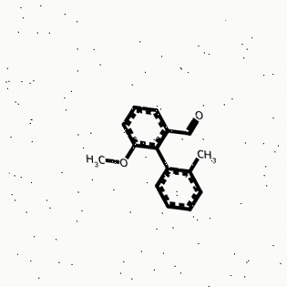 COc1cccc(C=O)c1-c1ccccc1C